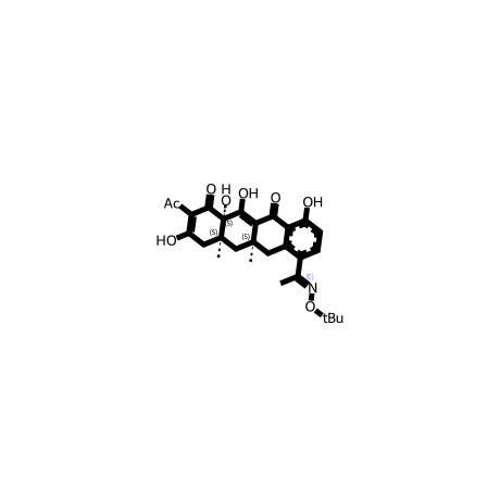 CC(=O)C1=C(O)C[C@]2(C)C[C@]3(C)Cc4c(/C(C)=N/OC(C)(C)C)ccc(O)c4C(=O)C3=C(O)[C@]2(O)C1=O